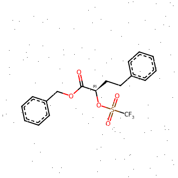 O=C(OCc1ccccc1)[C@@H](CCc1ccccc1)OS(=O)(=O)C(F)(F)F